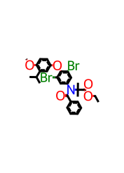 CCOC(=O)C(C)(C)N(C(=O)c1ccccc1)c1cc(Br)c(Oc2ccc(OC)c(C(C)C)c2)c(Br)c1